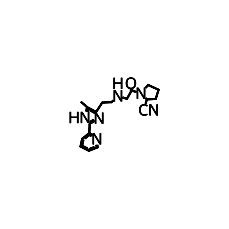 Cc1[nH]c(-c2ccccn2)nc1CCNCC(=O)N1CCCC1C#N